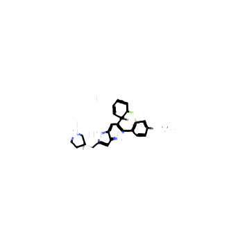 COc1ccc(-c2nc3cc(C[C@H]4CCNC4)[nH]c3cc2C2(C#N)C=CC=CC2F)cc1.Cl